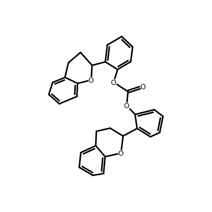 O=C(Oc1ccccc1C1CCc2ccccc2O1)Oc1ccccc1C1CCc2ccccc2O1